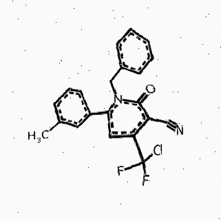 Cc1cccc(-c2cc(C(F)(F)Cl)c(C#N)c(=O)n2Cc2ccccc2)c1